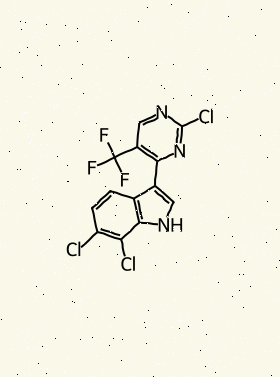 FC(F)(F)c1cnc(Cl)nc1-c1c[nH]c2c(Cl)c(Cl)ccc12